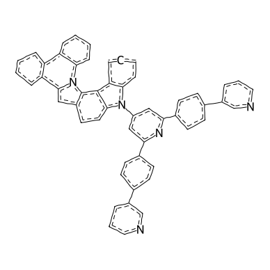 c1cncc(-c2ccc(-c3cc(-n4c5ccccc5c5c4ccc4cc6c7ccccc7c7ccccc7n6c45)cc(-c4ccc(-c5cccnc5)cc4)n3)cc2)c1